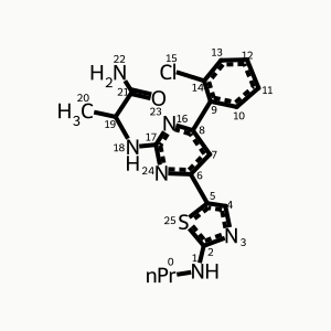 CCCNc1ncc(-c2cc(-c3ccccc3Cl)nc(NC(C)C(N)=O)n2)s1